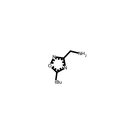 CC(C)(C)c1nc(CN)no1